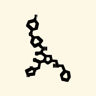 O=C(Nc1ccc(Oc2ccc(F)cc2)cc1)C1CC(CNCc2ccccc2)CN1C(=O)Cn1cncn1